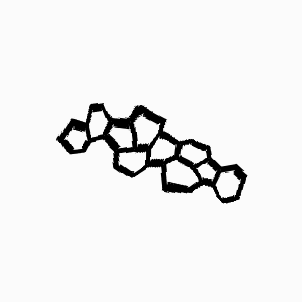 c1ccc2c(c1)=c1ccc3c4ccc5c6c(ccc(c7ccc=2c1c37)c64)=c1c=5ccc2ccccc12